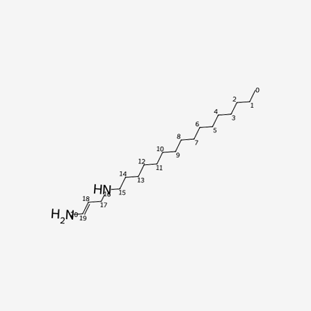 CCCCCCCCCCCCCCCCNCC=CN